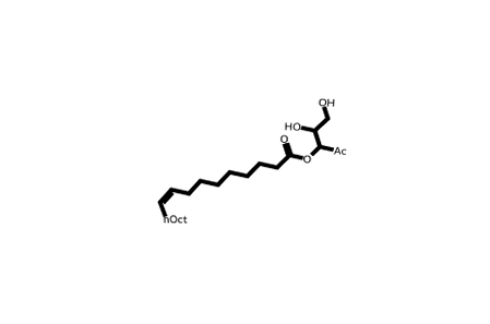 CCCCCCCC/C=C\CCCCCCCC(=O)OC(C(C)=O)C(O)CO